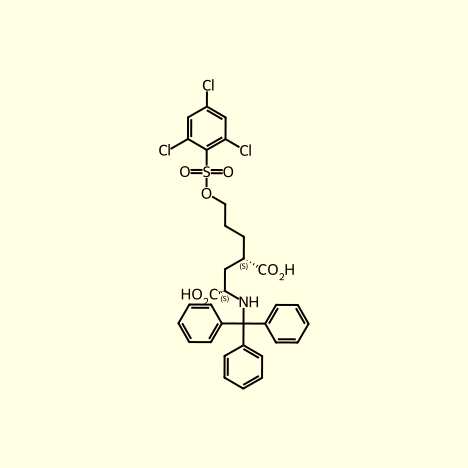 O=C(O)[C@@H](CCCOS(=O)(=O)c1c(Cl)cc(Cl)cc1Cl)C[C@H](NC(c1ccccc1)(c1ccccc1)c1ccccc1)C(=O)O